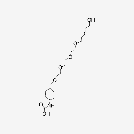 O=C(O)NC1CCC(COCCOCCOCCOCCOCCO)CC1